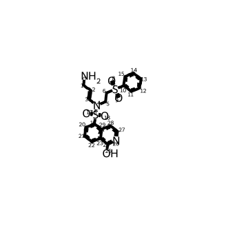 NCC=CN(CCS(=O)(=O)c1ccccc1)S(=O)(=O)c1cccc2c(O)nccc12